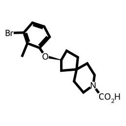 Cc1c(Br)cccc1O[C@H]1CCC2(CCN(C(=O)O)CC2)C1